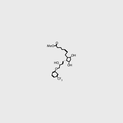 COC(=O)CCC/C=C\CC1[C@@H](/C=C/[C@@H](O)COc2cccc(C(F)(F)F)c2)[C@H](O)C[C@@H]1O